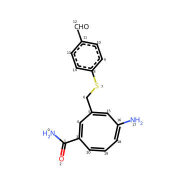 NC(=O)C1=C/C(CSc2ccc(C=O)cc2)=C\C(N)=C/C=C\1